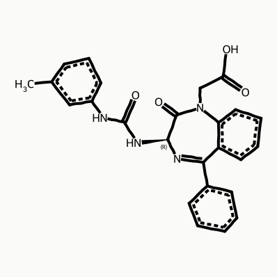 Cc1cccc(NC(=O)N[C@@H]2N=C(c3ccccc3)c3ccccc3N(CC(=O)O)C2=O)c1